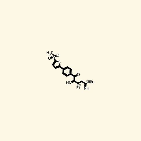 CC[C@@H](CC(=N)[C@H](C)CC)C(=N)C(=O)c1ccc(-c2ccc(S(C)(=O)=O)s2)cc1